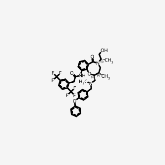 C[C@@H]1CN([C@@H](C)CO)C(=O)c2cccc(NC(=O)Cc3cc(C(F)(F)F)ccc3C(F)(F)F)c2O[C@@H]1CN(C)Cc1ccc(Oc2ccccc2)cc1